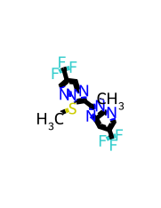 CCSc1c(-c2nc3cc(C(F)(F)F)cnc3n2C)nc2cc(C(F)(F)F)cnn12